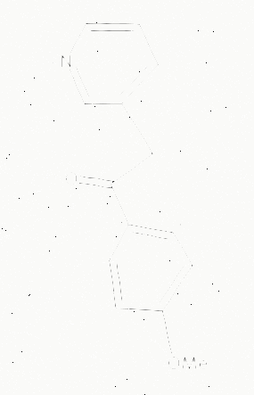 COc1ccc(C(=O)Cc2cccnc2)cc1